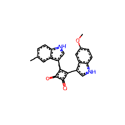 COc1ccc2[nH]cc(-c3c(-c4c[nH]c5ccc(C)cc45)c(=O)c3=O)c2c1